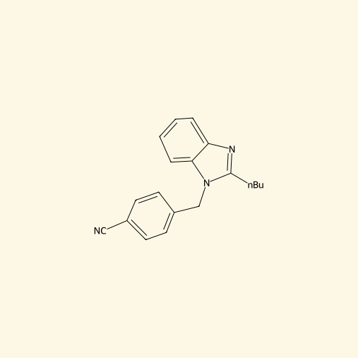 CCCCc1nc2ccccc2n1Cc1ccc(C#N)cc1